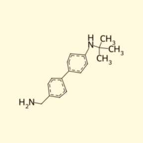 CC(C)(C)Nc1ccc(-c2ccc(CN)cc2)cc1